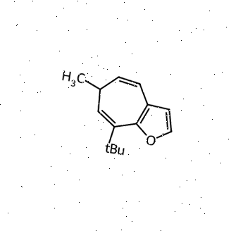 CC1C=Cc2ccoc2C(C(C)(C)C)=C1